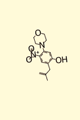 C=C(C)Cc1cc([N+](=O)[O-])c(N2CCOCC2)cc1O